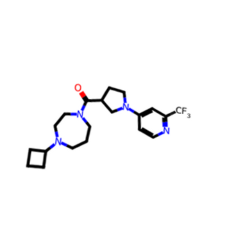 O=C(C1CCN(c2ccnc(C(F)(F)F)c2)C1)N1CCCN(C2CCC2)CC1